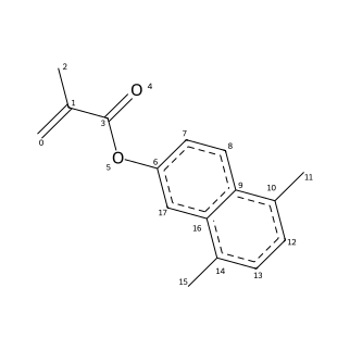 C=C(C)C(=O)Oc1ccc2c(C)ccc(C)c2c1